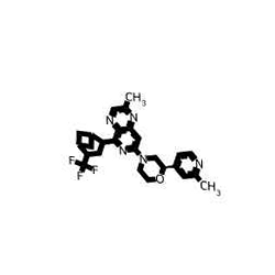 Cc1cc([C@@H]2CN(c3cc4nc(C)cnc4c(C4CC(C(F)(F)F)C5CC4C5)n3)CCO2)ccn1